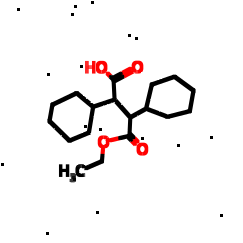 CCOC(=O)C(C1CCCCC1)C(C(=O)O)C1CCCCC1